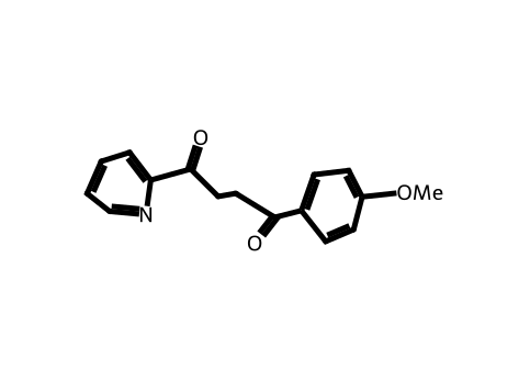 COc1ccc(C(=O)CCC(=O)c2ccccn2)cc1